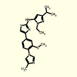 CCn1nc(C(C)C)cc1Nc1nc(-c2ccc(-n3cnc(C)c3)c(SC)c2)cs1